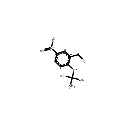 CC(C)(C)Oc1ccc([N+](=O)[O-])cc1CBr